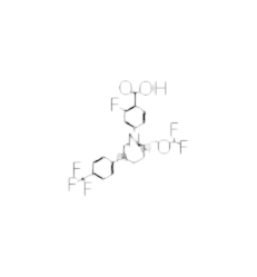 O=C(O)c1ccc(N2C[C@H](c3ccc(C(F)(F)F)cc3)CC[C@H]2COC(F)F)cc1F